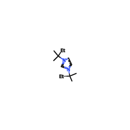 CCC(C)(C)n1cc[n+](C(C)(C)CC)c1